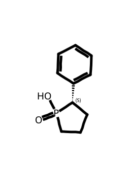 O=P1(O)CCC[C@H]1c1ccccc1